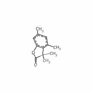 Cc1cc(C)c2c(c1)OC(=O)C2(C)C